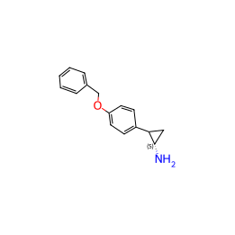 N[C@H]1CC1c1ccc(OCc2ccccc2)cc1